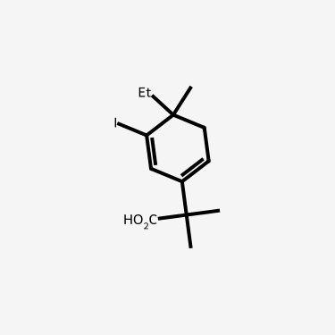 CCC1(C)CC=C(C(C)(C)C(=O)O)C=C1I